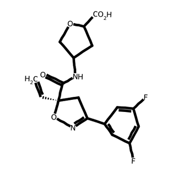 C=C[C@]1(C(=O)NC2COC(C(=O)O)C2)CC(c2cc(F)cc(F)c2)=NO1